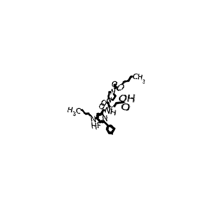 CCCCNc1cc(C(=O)N[C@@H](CCC(=O)O)C(=O)N2CCN(C(=O)OCCCC)CC2)nc(-c2ccccc2)c1F